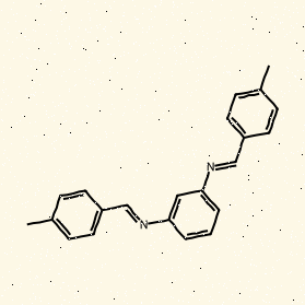 Cc1ccc(C=Nc2cccc(N=Cc3ccc(C)cc3)c2)cc1